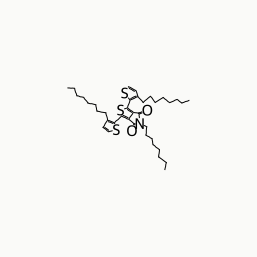 CCCCCCCCc1ccsc1-c1sc(-c2sccc2CCCCCCCC)c2c1C(=O)N(CCCCCCCC)C2=O